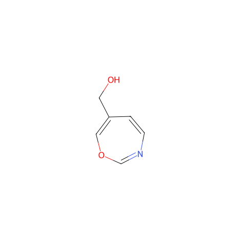 OCC1=COC=NC=C1